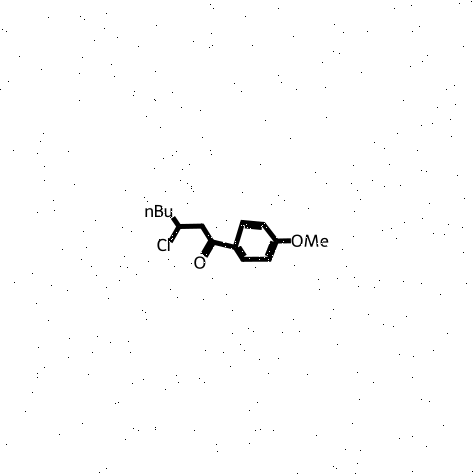 CCCCC(Cl)CC(=O)c1ccc(OC)cc1